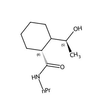 CCCNC(=O)[C@@H]1CCCCC1[C@H](C)O